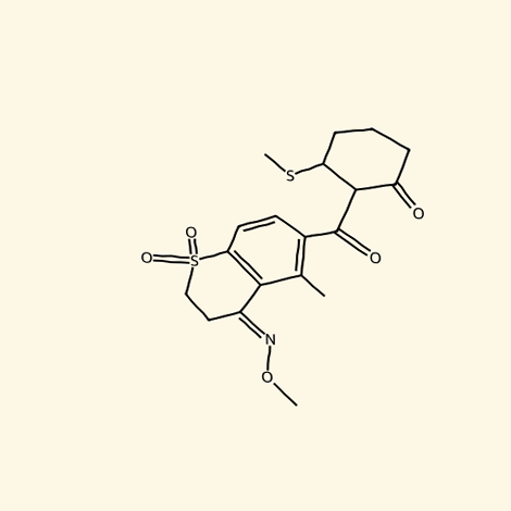 CON=C1CCS(=O)(=O)c2ccc(C(=O)C3C(=O)CCCC3SC)c(C)c21